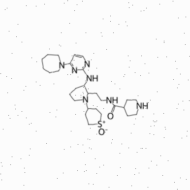 O=C(NCCC1C(Nc2nccc(N3CCCCCC3)n2)CCCN1C1CC[S+]([O-])CC1)C1CCNCC1